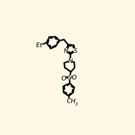 CCc1ccc(Cc2csc(N3CCC(S(=O)(=O)c4ccc(C)cc4)CC3)n2)cc1